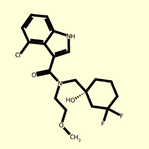 COCCN(C[C@@]1(O)CCCC(F)(F)C1)C(=O)c1c[nH]c2cccc(Cl)c12